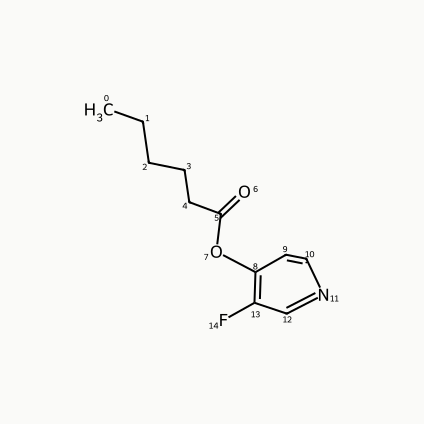 CCCCCC(=O)Oc1c[c]ncc1F